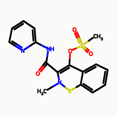 CN1Sc2ccccc2C(OS(C)(=O)=O)=C1C(=O)Nc1ccccn1